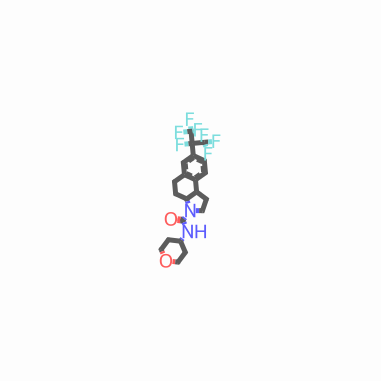 O=C(NC1CCOCC1)N1CCC2c3ccc(C(F)(C(F)(F)F)C(F)(F)F)cc3CCC21